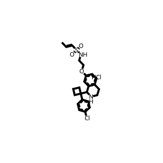 CC=CS(=O)(=O)NCCOc1ccc2c(c1)C(C1(c3ccc(Cl)cc3)CCC1)NCC2.Cl